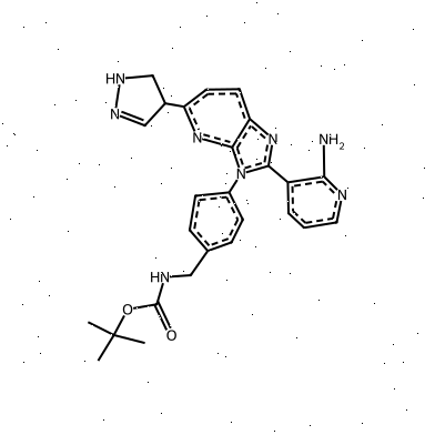 CC(C)(C)OC(=O)NCc1ccc(-n2c(-c3cccnc3N)nc3ccc(C4C=NNC4)nc32)cc1